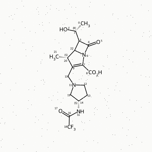 C[C@@H](O)C1C(=O)N2C(C(=O)O)=C(CN3CC[C@H](NC(=O)C(F)(F)F)C3)[C@H](C)C12